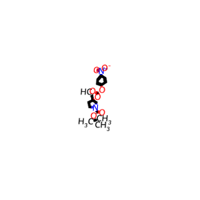 C#CC1(OC(=O)Oc2ccc([N+](=O)[O-])cc2)CCN(C(=O)OC(C)(C)C)C1